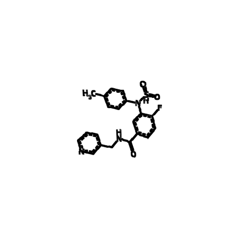 Cc1ccc(N(c2cc(C(=O)NCc3cccnc3)ccc2F)[SH](=O)=O)cc1